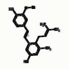 CCOc1cc(/C=C/c2cc(O)cc(C)c2CC=C(C)C)ccc1O